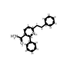 NC(=O)c1ccc(CCc2ccccc2)nc1-c1ccccc1